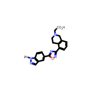 CC(C)n1ncc2cc(-c3nc(-c4cccc5c4CCN(CC(=O)O)C5)no3)ccc21